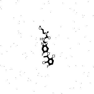 COCCN(C)C(=O)Nc1nc2cc(F)c(OC(C)c3c(Cl)ccc(F)c3Cl)cc2s1